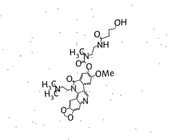 COc1cc2c(cc1OC(=O)N(C)CCNC(=O)CCCO)c(=O)n(CCN(C)C)c1c3cc4c(cc3ncc21)OCO4